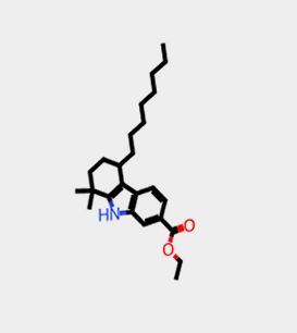 CCCCCCCCC1CCC(C)(C)c2[nH]c3cc(C(=O)OCC)ccc3c21